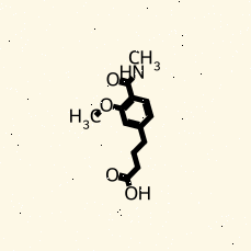 CNC(=O)c1ccc(CCCC(=O)O)cc1OC